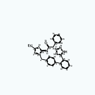 CCc1nn(Cc2ccc(-c3ccccc3-c3nnn[nH]3)cc2)c(=NC(=O)Cc2ccccc2)s1